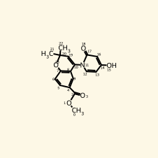 COC(=O)c1ccc2c(c1)C(n1ccc(O)cc1=O)=CC(C)(C)O2